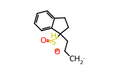 [CH2]CCC1([SH](=O)=O)CCc2ccccc21